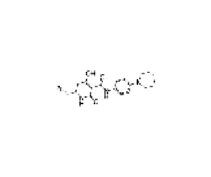 CC(C)CC1CC(O)=C(C(=O)Nc2ccc(N3CCCCC3)cc2)C(=O)N1